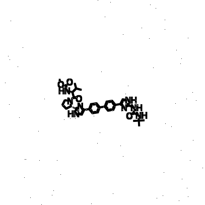 COC(=O)N[C@H](C(=O)N1CCC[C@H]1c1nc(-c2ccc(-c3ccc(-c4c[nH]c(NC(=O)NC(C)(C)C)n4)cc3)cc2)c[nH]1)C(C)C